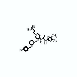 CCN(CC)CCN1CC[C@@H](NC(=O)Nc2nc(C)c(C(C)=O)s2)[C@H](CN2CCC[C@@H](Cc3ccc(F)cc3)C2)C1